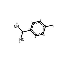 [C-]#[N+]C([N+]#[C-])c1ccc(C)cc1